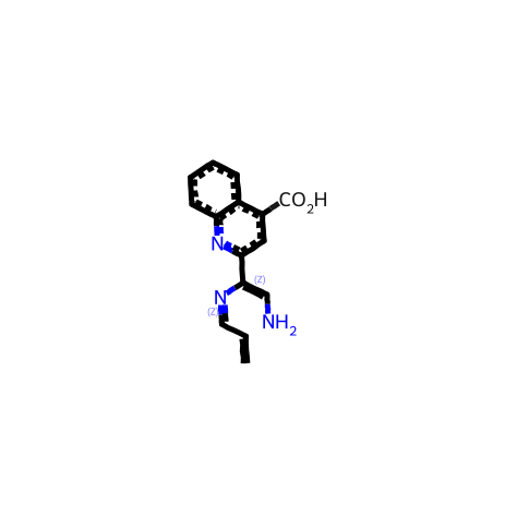 C=C/C=N\C(=C/N)c1cc(C(=O)O)c2ccccc2n1